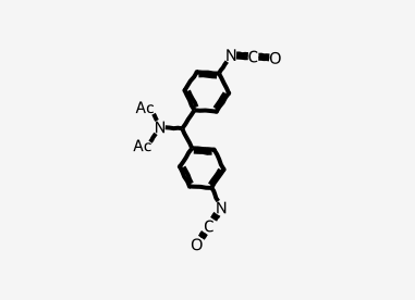 CC(=O)N(C(C)=O)C(c1ccc(N=C=O)cc1)c1ccc(N=C=O)cc1